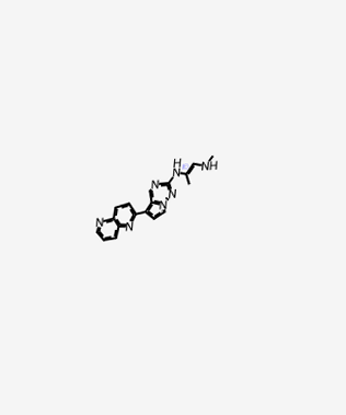 CN/C=C(\C)Nc1ncc2c(-c3ccc4ncccc4n3)ccn2n1